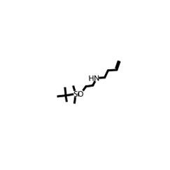 C=CCCNCCO[Si](C)(C)C(C)(C)C